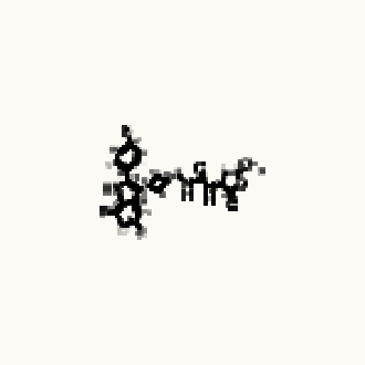 CC1CC(NC(=O)NC[C@H]2C[C@H](c3c(-c4ccc(F)cc4)[nH]c4c(F)cc(F)cc43)C2)C(=O)O1